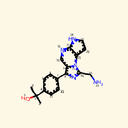 CC(C)(O)c1ccc(-c2nc(CN)n3c2cnc2[nH]ccc23)cc1